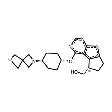 OC[C@H]1CCc2sc3ncnc(O[C@H]4CC[C@H](N5CC6(COC6)C5)CC4)c3c21